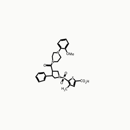 COc1ccccc1N1CCN(C(=O)C2CN(S(=O)(=O)c3sc(C(=O)O)cc3C)CC2c2ccccc2)CC1